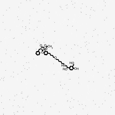 CC(=O)O[N+]1(c2cccc(CCCCOCCCCCCNC[C@@H](O)c3ccc(O)c(CO)c3)c2)CC(=O)N(Cc2ccccc2)C1=O